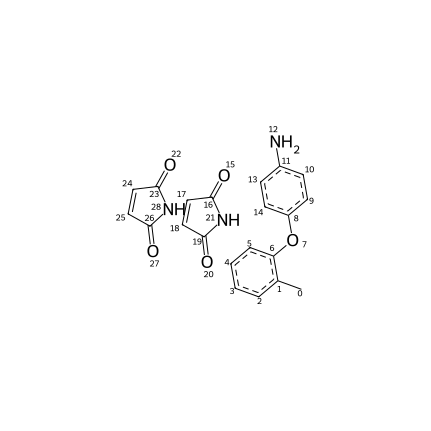 Cc1ccccc1Oc1ccc(N)cc1.O=C1C=CC(=O)N1.O=C1C=CC(=O)N1